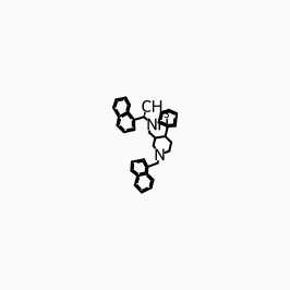 C[C@@H](NCC1CN(Cc2cccc3ccccc23)CCC1c1ccccc1)c1cccc2ccccc12